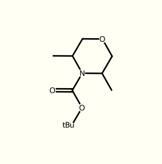 CC1COCC(C)N1C(=O)OC(C)(C)C